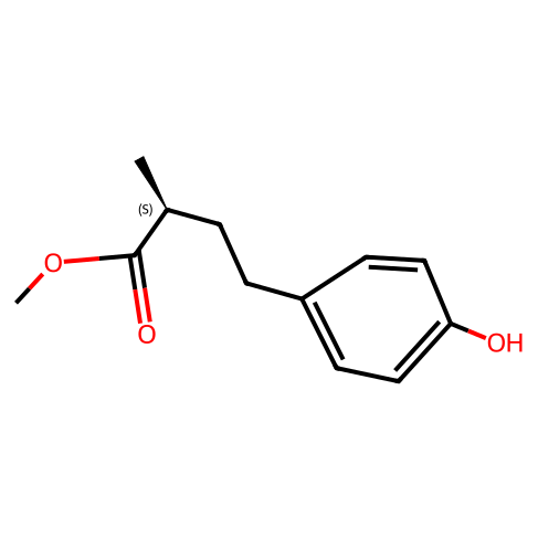 COC(=O)[C@@H](C)CCc1ccc(O)cc1